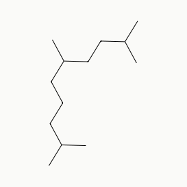 CC(C)CCCC(C)CCC(C)C